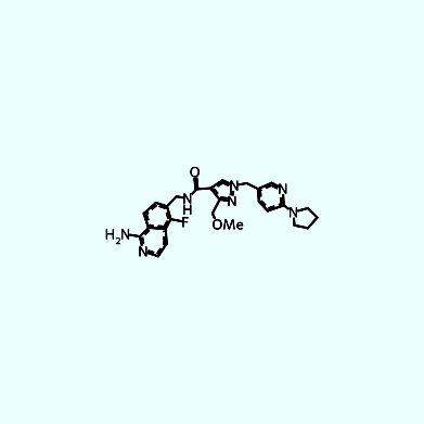 COCc1nn(Cc2ccc(N3CCCC3)nc2)cc1C(=O)NCc1ccc2c(N)nccc2c1F